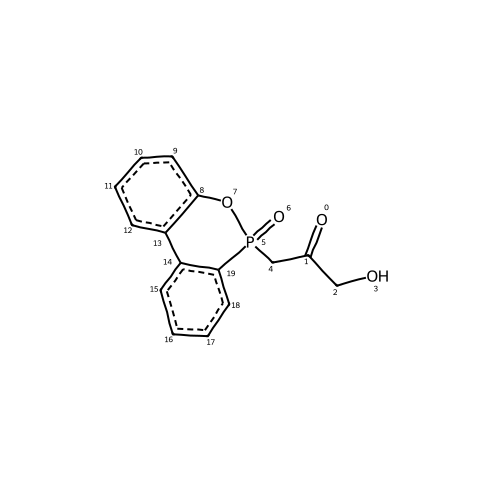 O=C(CO)CP1(=O)Oc2ccccc2-c2ccccc21